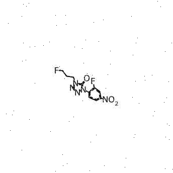 O=c1n(CCCF)nnn1-c1ccc([N+](=O)[O-])cc1F